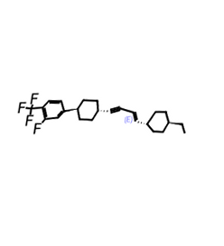 CC[C@H]1CC[C@H](/C=C/C#C[C@H]2CC[C@H](c3ccc(C(F)(F)F)c(F)c3)CC2)CC1